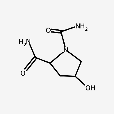 NC(=O)C1CC(O)CN1C(N)=O